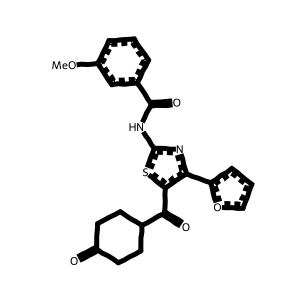 COc1cccc(C(=O)Nc2nc(-c3ccco3)c(C(=O)C3CCC(=O)CC3)s2)c1